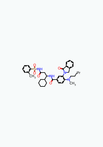 Cc1ccccc1S(=O)(=O)NC(=O)CC(NC(=O)c1ccc(N(C)CCC(C)C)c(N2Cc3ccccc3C2=O)c1)C1CCCCC1